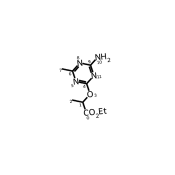 CCOC(=O)C(C)Oc1nc(C)nc(N)n1